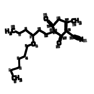 CCCCCCOC(CCC)CCN1C(=O)CC(C)=C(C#N)C1=O